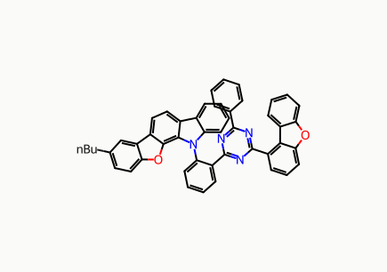 CCCCc1ccc2oc3c(ccc4c5ccccc5n(-c5ccccc5-c5nc(-c6ccccc6)nc(-c6cccc7oc8ccccc8c67)n5)c43)c2c1